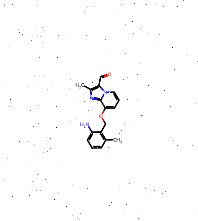 Cc1cccc(N)c1COc1cccn2c(C=O)c(C)nc12